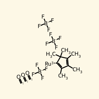 CC1=C(C)C(C)(C)[C]([Ru+3])=C1C.F[B-](F)(F)F.F[B-](F)(F)F.F[B-](F)(F)F.[C]=O.[C]=O.[C]=O